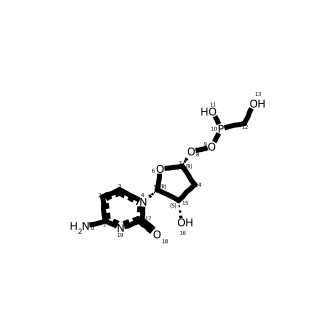 Nc1ccn([C@@H]2O[C@H](OOP(O)CO)C[C@@H]2O)c(=O)n1